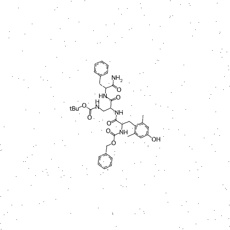 Cc1cc(O)cc(C)c1CC(NC(=O)OCc1ccccc1)C(=O)NC(CNC(=O)OC(C)(C)C)C(=O)NC(Cc1ccccc1)C(N)=O